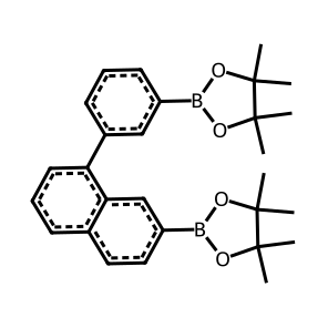 CC1(C)OB(c2cccc(-c3cccc4ccc(B5OC(C)(C)C(C)(C)O5)cc34)c2)OC1(C)C